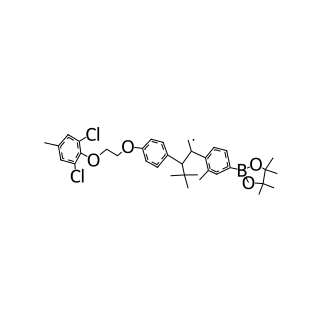 [CH2]C(c1ccc(B2OC(C)(C)C(C)(C)O2)cc1C)C(c1ccc(OCCOc2c(Cl)cc(C)cc2Cl)cc1)C(C)(C)C